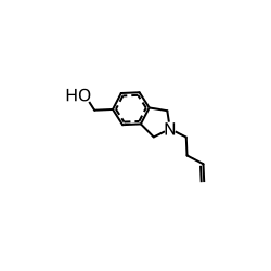 C=CCCN1Cc2ccc(CO)cc2C1